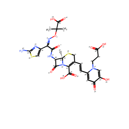 CC(C)(O/N=C(\C(=O)N[C@@H]1C(=O)N2C(C(=O)O)=C(C=Cc3cc(=O)c(O)cn3CCC(=O)O)CS[C@H]12)c1csc(N)n1)C(=O)O